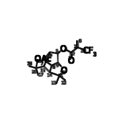 C=C(C(=O)OC1C2CC3C1OC(C)(C)C3C2C(C)(C)OC(C)=O)C(F)(F)F